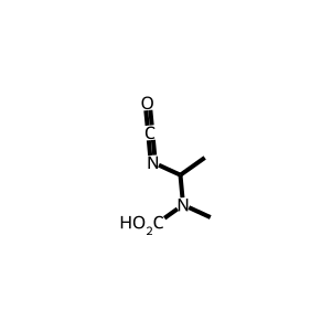 CC(N=C=O)N(C)C(=O)O